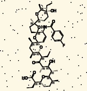 CC[C@@H](C(=O)[C@@H](C)[C@@H](O)[C@H](C)[C@@H]1O[C@@H]([C@@H](CC)C(=O)O)CC[C@@H]1C)[C@H]1O[C@]2(C=CC(NC(=O)c3ccc(F)cc3)[C@]3(CC[C@@](C)([C@H]4CC[C@](O)(CC)[C@H](C)O4)O3)O2)[C@H](C)C[C@@H]1C